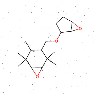 CC1C(COC2CCC3OC23)C(C)(C)C2OC2C1(C)C